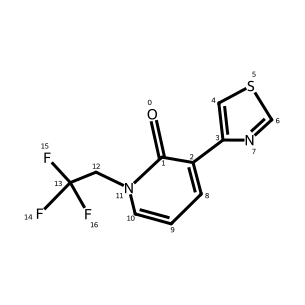 O=c1c(-c2cscn2)cccn1CC(F)(F)F